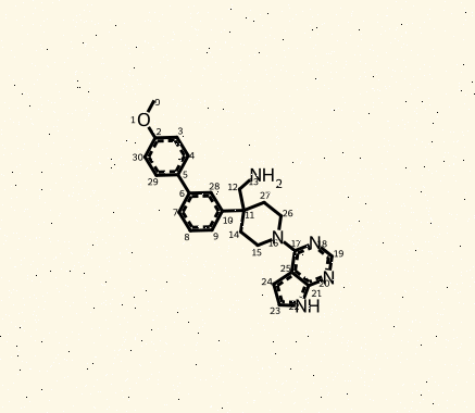 COc1ccc(-c2cccc(C3(CN)CCN(c4ncnc5[nH]ccc45)CC3)c2)cc1